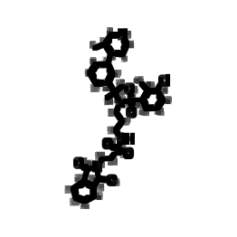 Cc1cnccc1-c1cccc(C(C)(C)N(CCCNS(=O)(=O)CCN2C(=O)c3ccccc3C2=O)S(=O)(=O)c2cccc(Cl)c2C)c1